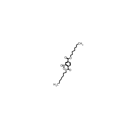 CCCCCCCCOC(=O)c1ccc(C(=O)OCCCCCCCC)c([N+](=O)[O-])c1